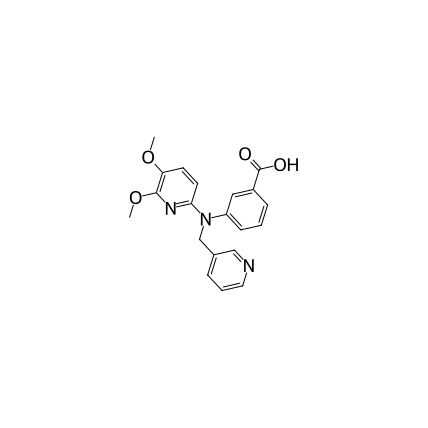 COc1ccc(N(Cc2cccnc2)c2cccc(C(=O)O)c2)nc1OC